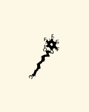 O=CCCCCCCC(=O)Oc1c(F)c(F)c(F)c(F)c1F